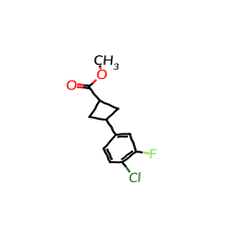 COC(=O)C1CC(c2ccc(Cl)c(F)c2)C1